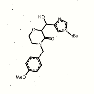 CCCCn1cnc(C(O)C2OCCN(Cc3ccc(OC)cc3)C2=O)c1